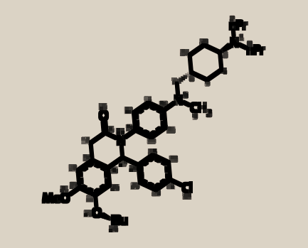 CCCN(CCC)[C@H]1CC[C@H](CN(C)c2ccc(N3C(=O)Cc4cc(OC)c(O[C@H](C)CC)cc4C3c3ccc(Cl)cc3)cc2)CC1